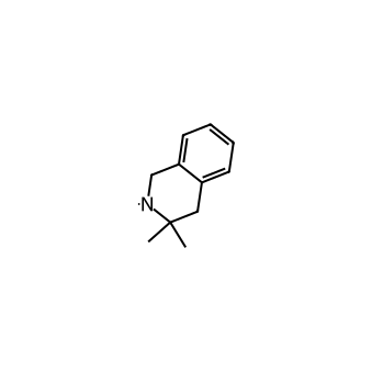 CC1(C)Cc2ccccc2C[N]1